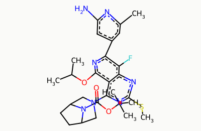 CSc1nc(N2CC3CCC(C2)N3C(=O)OC(C)(C)C)c2c(OC(C)C)nc(-c3cc(C)nc(N)c3)c(F)c2n1